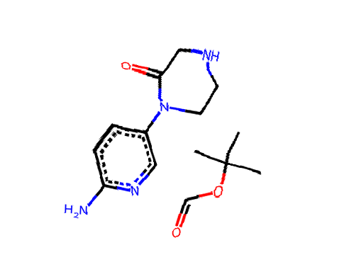 CC(C)(C)OC=O.Nc1ccc(N2CCNCC2=O)cn1